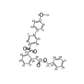 COc1ccc(-c2ccc(S(=O)(=O)c3ccccc3CC(=O)OCc3ccccc3)cc2)cc1